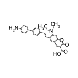 CCN(CC)c1cc2oc(=O)c(C(=O)O)cc2cc1/C=C/c1ccc(-c2ccc(N)cc2)cc1